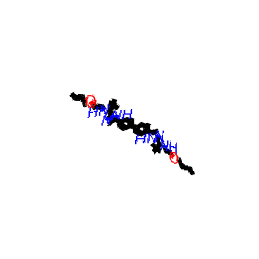 CCCCOCCN[C@H](c1ncc(-c2ccc(-c3ccc(-c4cnc([C@@H](NCCOCCCC)C(C)(C)C)[nH]4)cc3)cc2)[nH]1)C(C)(C)C